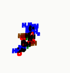 NC1=Nc2c(nnn2[C@@H]2O[C@@H]3COP(=O)(S)O[C@H]4[C@H](F)[C@H](n5ccc6c(=O)[nH]cnc65)O[C@@H]4COP(=O)(S)O[C@@H]2[C@H]3F)C(N)N1